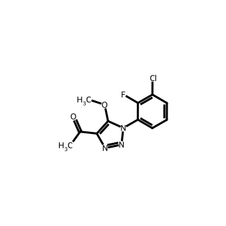 COc1c(C(C)=O)nnn1-c1cccc(Cl)c1F